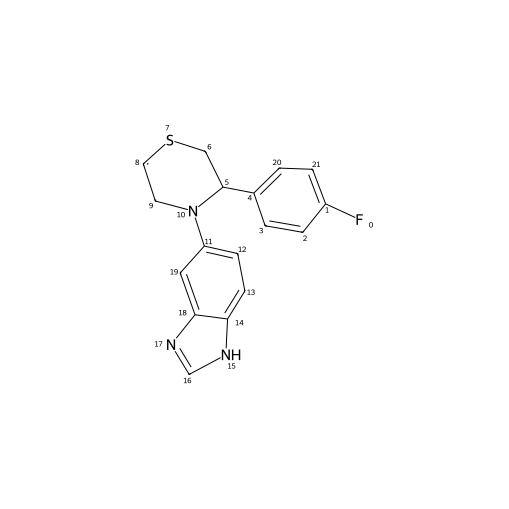 Fc1ccc(C2CS[CH]CN2c2ccc3[nH]cnc3c2)cc1